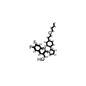 CCCCOCCC1CCC([C@H]2CCCN2c2nc3cc(F)c(F)cc3cc2CO)CC1